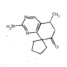 CC1CC(=O)C2(CCCC2)c2nc(N)ncc21